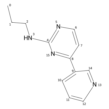 CCCNc1nccc(-c2cccnc2)n1